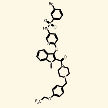 Cn1c(C(=O)N2CCN(Cc3ccc(OCC(F)(F)F)cc3)CC2)c(Oc2ccc(NS(=O)(=O)c3cccc(Br)c3)cn2)c2ccccc21